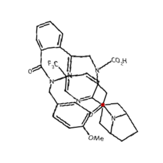 COc1ccc(Cn2nc(CN(CCC(=O)N3C4CCC3CN(c3ccc(C(F)(F)F)cn3)C4)C(=O)O)c3ccccc3c2=O)cc1